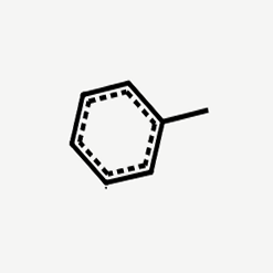 Cc1c[c]ccc1